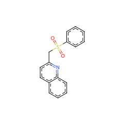 O=S(=O)(Cc1ccc2ccccc2n1)c1ccccc1